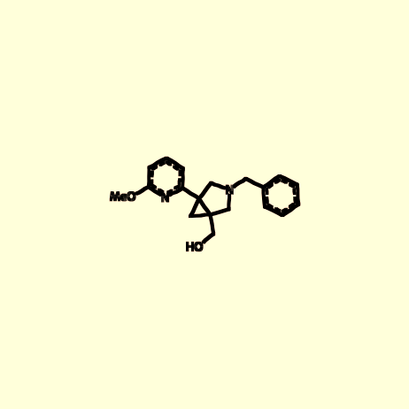 COc1cccc(C23CN(Cc4ccccc4)CC2(CO)C3)n1